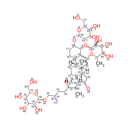 CC1O[C@@H](O[C@H]2C(O)[C@H](O)C(CO)O[C@H]2OC2CC[C@@]3(C)C(=CC[C@H]4[C@@H]5CC(=O)[C@H]([C@H](C)C(=O)CC[C@@H](I)CO[C@@H]6OC(CO)[C@@H](O)C(O)[C@@H]6O)[C@@]5(C)CC[C@@H]43)C2)[C@@H](O)C(O)[C@H]1O